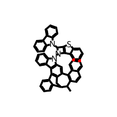 CC1c2ccc3ccccc3c2-c2cc3c(c4c2CC1c1ccccc1-4)c1ccccc1n3N1c2c(sc3ccccc23)C1n1c2ccccc2c2ccccc21